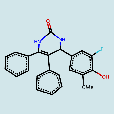 COc1cc(C2NC(=O)NC(c3ccccc3)=C2c2ccccc2)cc(F)c1O